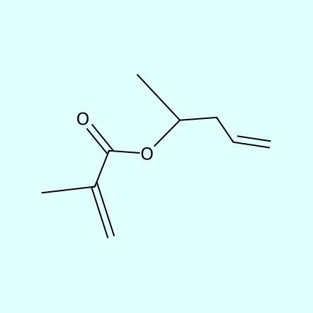 C=CCC(C)OC(=O)C(=C)C